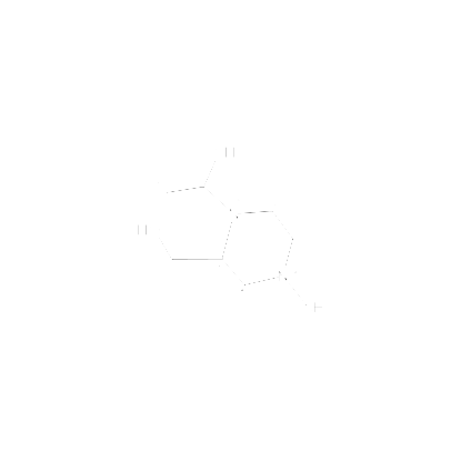 CC(C)N1CCN(S)CC1CO